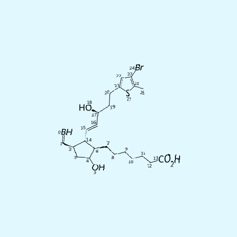 B=C[C@@H]1CC(O)[C@H](CCCCCCC(=O)O)[C@H]1/C=C/[C@@H](O)CCc1cc(Br)c(C)s1